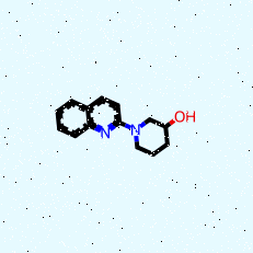 OC1CCCN(c2ccc3ccccc3n2)C1